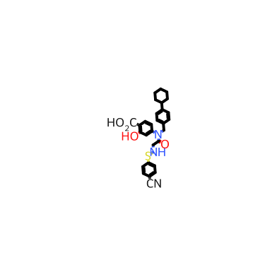 N#Cc1ccc(SNCC(=O)N(Cc2ccc(C3CCCCC3)cc2)c2ccc(C(=O)O)c(O)c2)cc1